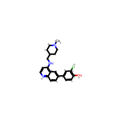 CN1CCC(CNc2[c]cnc3ccc(-c4ccc(O)c(Cl)c4)cc23)CC1